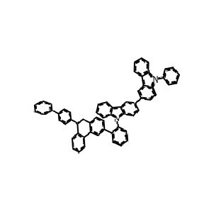 c1ccc(-c2ccc(C3Cc4ccc(-c5ccccc5-n5c6ccccc6c6cc(-c7ccc8c(c7)c7ccccc7n8-c7ccccc7)ccc65)cc4-c4ccccc43)cc2)cc1